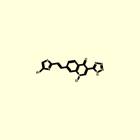 CCn1cc(-c2nnn[nH]2)c(=O)c2ccc(C=Cc3nc(C(C)C)cs3)cc21